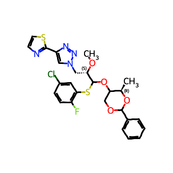 CO[C@@H](Cn1cc(-c2nccs2)nn1)C(OC1COC(c2ccccc2)O[C@@H]1C)Sc1cc(Cl)ccc1F